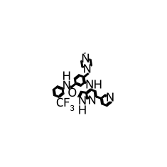 CN1CCN(Cc2ccc(C(=O)Nc3cccc(C(F)(F)F)c3)cc2Nc2cc(-c3cccnc3)nc3[nH]ccc23)CC1